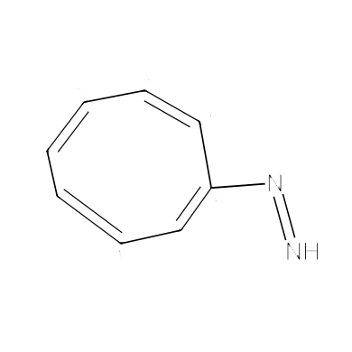 N=NC1=CC=CC=CC=C1